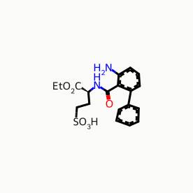 CCOC(=O)[C@H](CCS(=O)(=O)O)NC(=O)c1c(N)cccc1-c1ccccc1